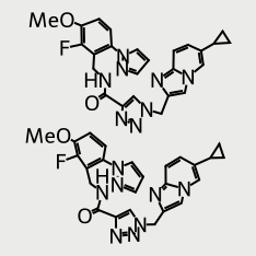 COc1ccc(-n2cccn2)c(CNC(=O)c2cn(Cc3cn4cc(C5CC5)ccc4n3)nn2)c1F.COc1ccc(-n2cccn2)c(CNC(=O)c2cn(Cc3cn4cc(C5CC5)ccc4n3)nn2)c1F